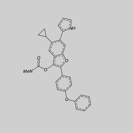 CNC(=O)Oc1c(-c2ccc(Oc3ccccc3)cc2)oc2cc(-c3ccc[nH]3)c(C3CC3)cc12